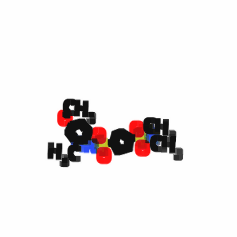 COc1ccc(NS(=O)(=O)c2ccc(S(=O)(=O)N(C)C)cc2)c(C)c1